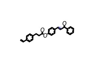 C=Cc1ccc(CCC(=O)Oc2ccc(/C=C/C(=O)c3ccccc3)cc2)cc1